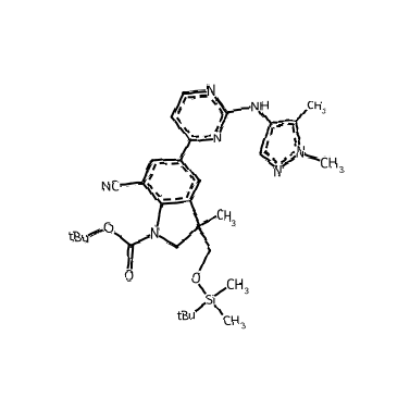 Cc1c(Nc2nccc(-c3cc(C#N)c4c(c3)C(C)(CO[Si](C)(C)C(C)(C)C)CN4C(=O)OC(C)(C)C)n2)cnn1C